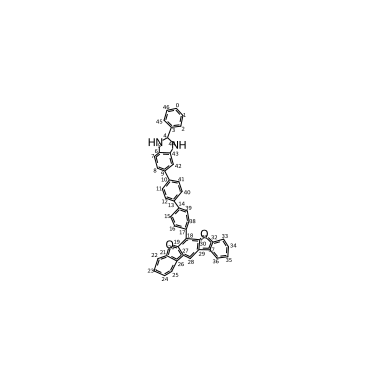 c1ccc(C2Nc3ccc(-c4ccc(-c5ccc(-c6c7oc8ccccc8c7cc7c6oc6ccccc67)cc5)cc4)cc3N2)cc1